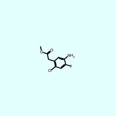 COC(=O)Cc1cc(N)c(F)cc1Cl